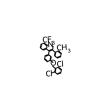 Cc1ccccc1-c1cnc2c(C(F)(F)F)cccc2c1-c1cccc(OCc2c(Cl)cccc2Cl)c1